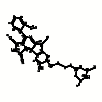 CC1CN(CCCOc2cc3c(cc2O)c2c4c(c(-c5ccccc5Cl)cc2n3C)C(=O)NC4=O)CC(C)N1